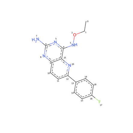 CCONc1nc(N)nc2ccc(-c3ccc(F)cc3)nc12